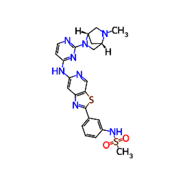 CN1C[C@@H]2C[C@H]1CN2c1nccc(Nc2cc3nc(-c4cccc(NS(C)(=O)=O)c4)sc3cn2)n1